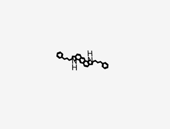 c1ccc(CCCc2cc3ccc4cc5c(ccc6cc(CCCc7ccccc7)[nH]c65)cc4c3[nH]2)cc1